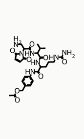 CC(=O)OCc1ccc(NC(=O)C(CCCNC(N)=O)NC(=O)C(NC(=O)C(CN)N2C(=O)C=CC2=O)C(C)C)cc1